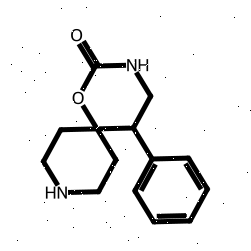 O=C1NCC(c2ccccc2)C2(CCNCC2)O1